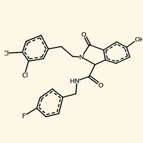 O=C(NCc1ccc(F)cc1)C1c2ccc(O)cc2C(=O)N1CCc1ccc(Cl)c(Cl)c1